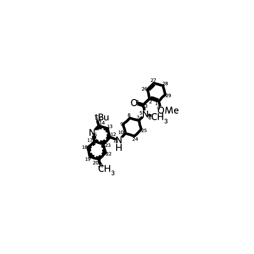 COC1=C(C(=O)N(C)C2CCC(Nc3cc(C(C)(C)C)nc4ccc(C)cc34)CC2)C=CCC1